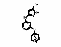 CC(C)c1cc(Nc2cncc(OC34CCN(CC3)CC4)n2)n[nH]1